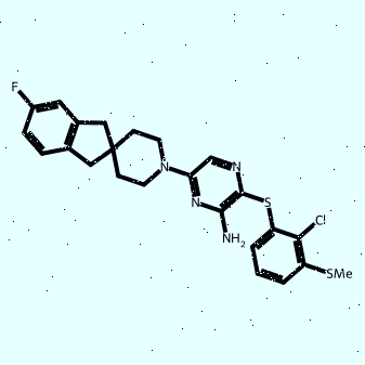 CSc1cccc(Sc2ncc(N3CCC4(CC3)Cc3ccc(F)cc3C4)nc2N)c1Cl